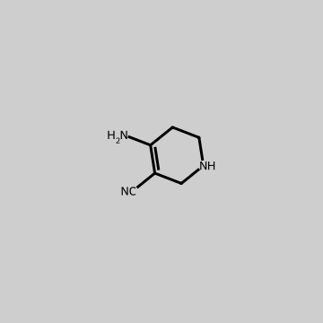 N#CC1=C(N)CCNC1